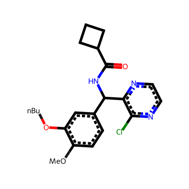 CCCCOc1cc(C(NC(=O)C2CCC2)c2nccnc2Cl)ccc1OC